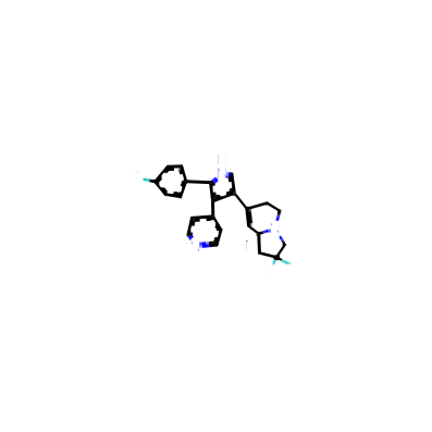 Fc1ccc(-c2[nH]cc(C3=C[C@@H]4CC(F)(F)CN4CC3)c2-c2ccncc2)cc1